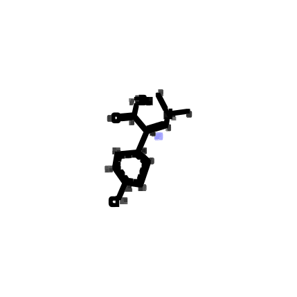 CN(C)/C=C(\C(=O)C(C)(C)C)c1ccc(Cl)cc1